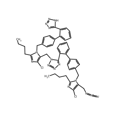 CCCCc1nc(Cl)c(CN=[N+]=[N-])n1Cc1ccc(-c2ccccc2-c2nnnn2Cc2c(Cl)nc(CCCC)n2Cc2ccc(-c3ccccc3-c3nnn[nH]3)cc2)cc1